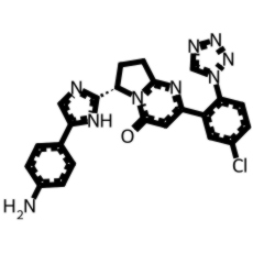 Nc1ccc(-c2cnc([C@@H]3CCc4nc(-c5cc(Cl)ccc5-n5cnnn5)cc(=O)n43)[nH]2)cc1